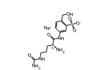 NC(=O)NCCC[C@H](N)C(=O)Nc1ccc(CO)c(S(=O)(=O)[O-])c1.[Na+]